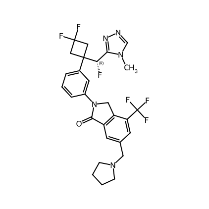 Cn1cnnc1[C@H](F)C1(c2cccc(N3Cc4c(cc(CN5CCCC5)cc4C(F)(F)F)C3=O)c2)CC(F)(F)C1